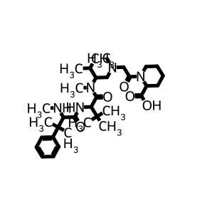 CNC(C(=O)NC(C(=O)N(C)C(CN(C)CC(=O)N1CCCCC1C(=O)O)C(C)C)C(C)(C)C)C(C)(C)c1ccccc1